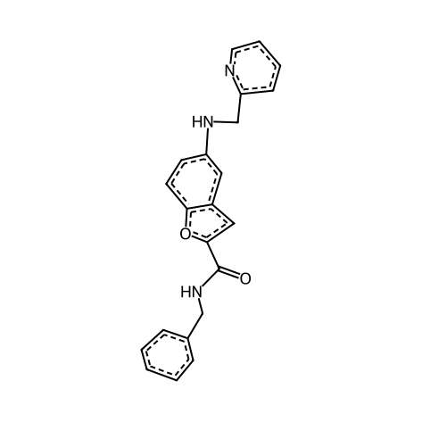 O=C(NCc1ccccc1)c1cc2cc(NCc3ccccn3)ccc2o1